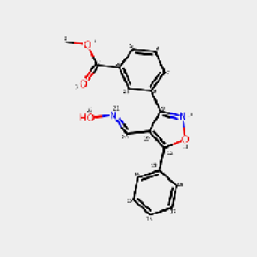 COC(=O)c1cccc(-c2noc(-c3ccccc3)c2C=NO)c1